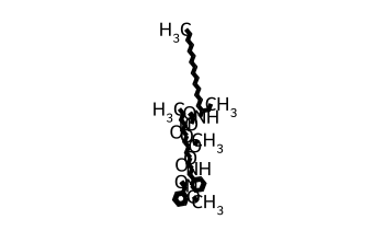 CCCCCCCCCCCCCCCC(CC)NC(=O)ON(CCC)C(=O)OCC(COC(=O)NCC1=CC=CCN1C(=O)c1ccccc1OC)OC